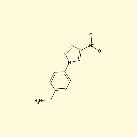 NCc1ccc(-n2ccc([N+](=O)[O-])c2)cc1